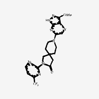 COc1n[nH]c2nc(N3CCC4(CC3)CC(=O)N(c3nccc(C(F)(F)F)n3)C4)cnc12